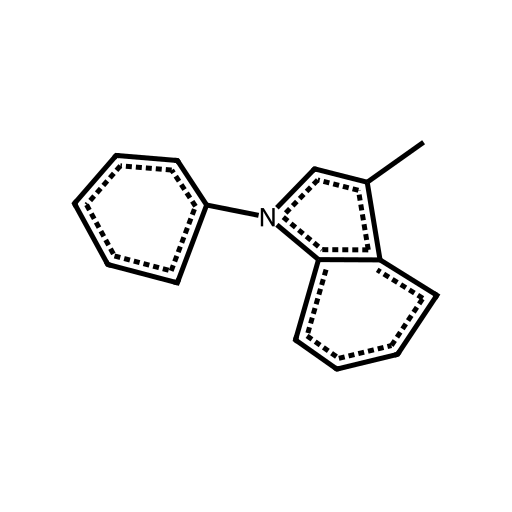 Cc1cn(-c2ccccc2)c2ccccc12